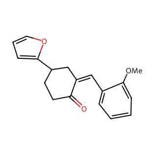 COc1ccccc1/C=C1/CC(c2ccco2)CCC1=O